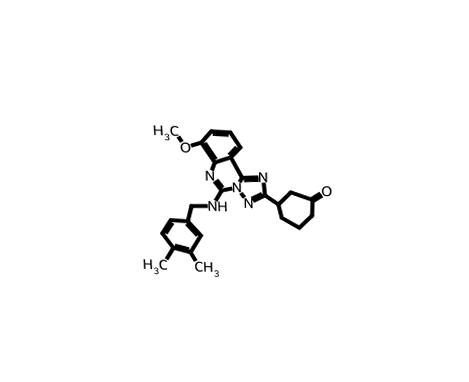 COc1cccc2c1nc(NCc1ccc(C)c(C)c1)n1nc(C3CCCC(=O)C3)nc21